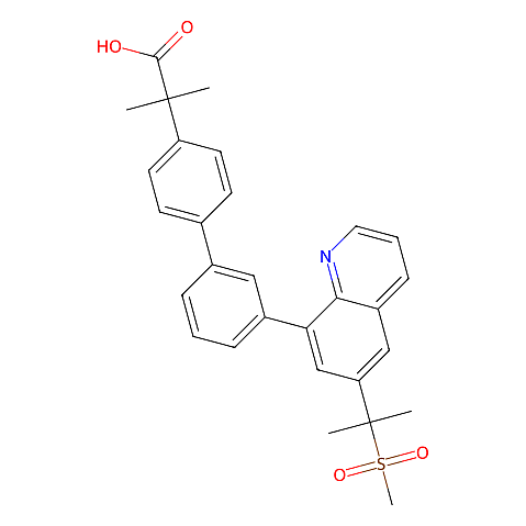 CC(C)(C(=O)O)c1ccc(-c2cccc(-c3cc(C(C)(C)S(C)(=O)=O)cc4cccnc34)c2)cc1